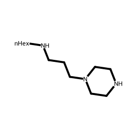 CCCCCCNCCCN1CCNCC1